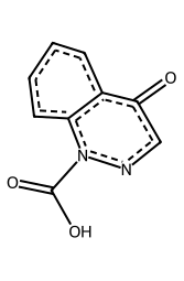 O=C(O)n1ncc(=O)c2ccccc21